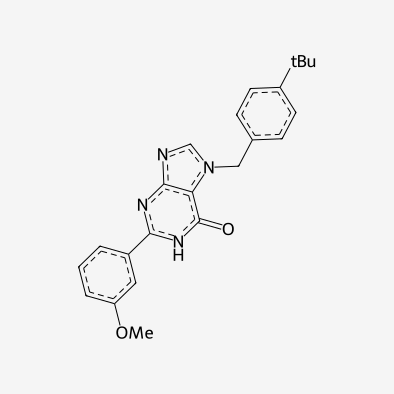 COc1cccc(-c2nc3ncn(Cc4ccc(C(C)(C)C)cc4)c3c(=O)[nH]2)c1